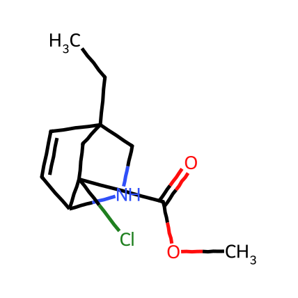 CCC12C=CC(NC1)C(Cl)(C(=O)OC)C2